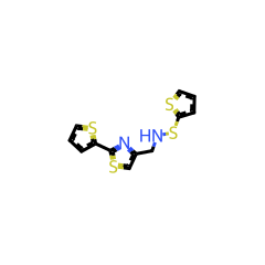 c1csc(SNCc2csc(-c3cccs3)n2)c1